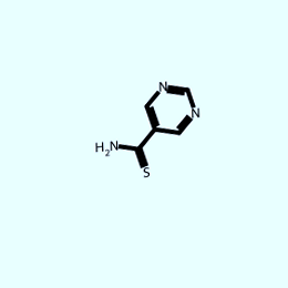 NC(=S)c1cncnc1